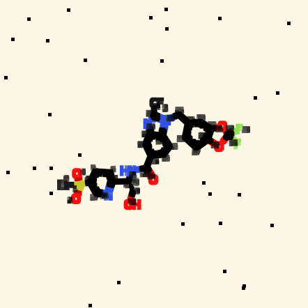 CCS(=O)(=O)c1ccc([C@@H](CO)NC(=O)c2ccc3c(c2)nc(C(F)(F)F)n3Cc2ccc3c(c2)OC(F)(F)O3)nc1